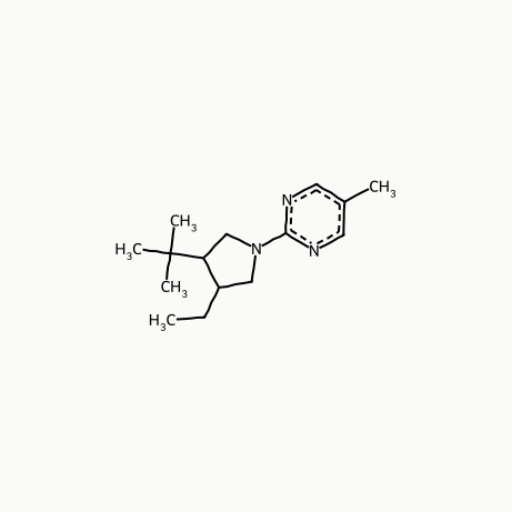 CCC1CN(c2ncc(C)cn2)CC1C(C)(C)C